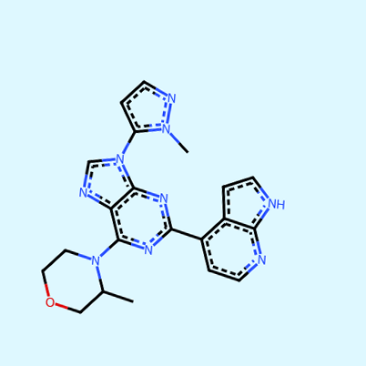 CC1COCCN1c1nc(-c2ccnc3[nH]ccc23)nc2c1ncn2-c1ccnn1C